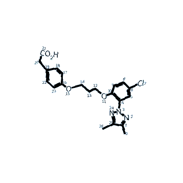 Cc1nn(-c2cc(Cl)ccc2OCCCOc2ccc(CC(=O)O)cc2)nc1C